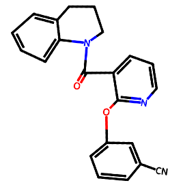 N#Cc1cccc(Oc2ncccc2C(=O)N2CCCc3ccccc32)c1